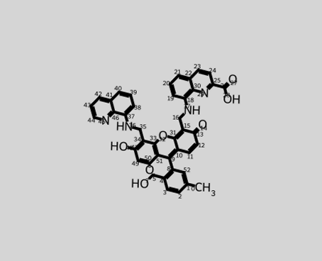 Cc1ccc(C(=O)O)c(-c2c3ccc(=O)c(CNc4cccc5ccc(C(=O)O)nc45)c-3oc3c(CNc4cccc5cccnc45)c(O)ccc23)c1